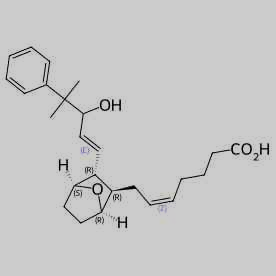 CC(C)(c1ccccc1)C(O)/C=C/[C@@H]1[C@@H](C/C=C\CCCC(=O)O)[C@H]2CC[C@@H]1O2